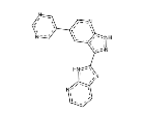 c1cnc2[nH]c(-c3n[nH]c4ncc(-c5cncnc5)cc34)nc2c1